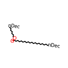 CCCCCCCCCCCCCCCCCCCCCCCCCCCCCC(=O)OCCCCCCCCCCCCCCCCC